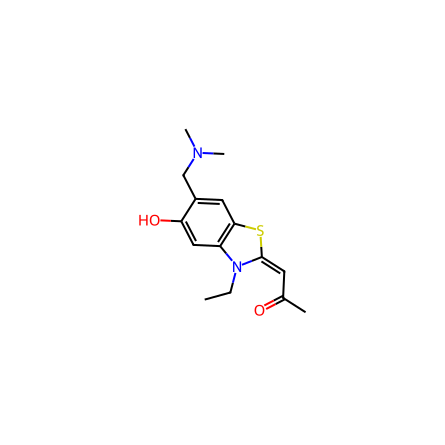 CCN1C(=CC(C)=O)Sc2cc(CN(C)C)c(O)cc21